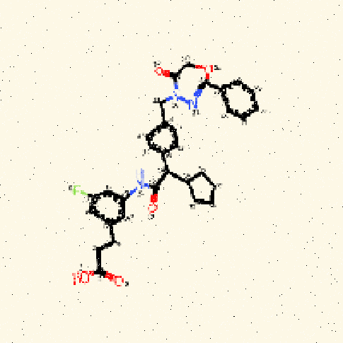 O=C(O)CCc1cc(F)cc(NC(=O)C(c2ccc(CN3N=C(c4ccccc4)OCC3=O)cc2)C2CCCC2)c1